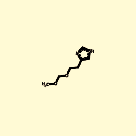 COCOCCc1c[nH]cn1